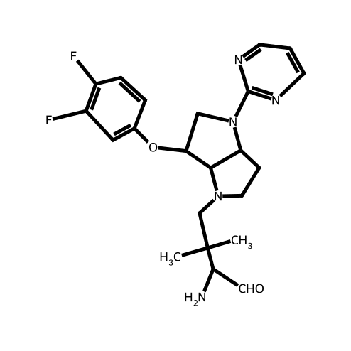 CC(C)(CN1CCC2C1C(Oc1ccc(F)c(F)c1)CN2c1ncccn1)C(N)C=O